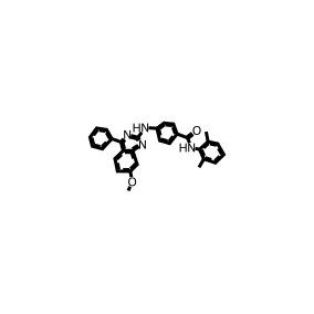 COc1ccc2c(-c3ccccc3)nc(Nc3ccc(C(=O)Nc4c(C)cccc4C)cc3)nc2c1